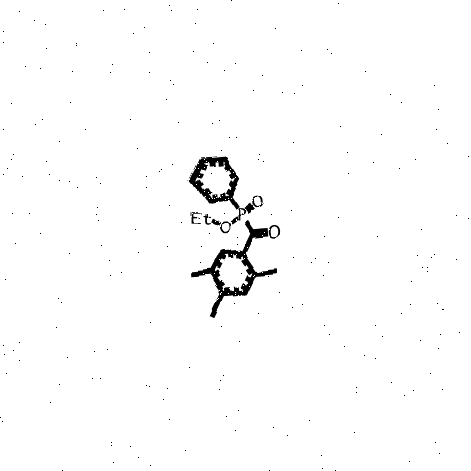 CCOP(=O)(C(=O)c1cc(C)c(C)cc1C)c1ccccc1